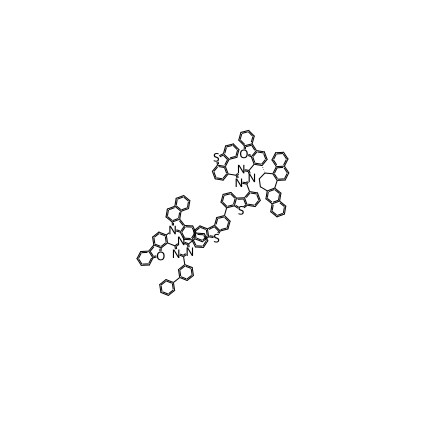 c1ccc(-c2cccc(-c3nc(-c4ccc5c(c4)sc4ccc(-c6cccc7c6sc6cccc(-c8nc(-c9c([C@H]%10CCc%11cc%12ccccc%12cc%11-c%11ccc%12ccccc%12c%11%10)ccc%10c9oc9ccccc9%10)nc(-c9cccc%10sc%11ccccc%11c9%10)n8)c67)cc45)nc(-c4c(-n5c6cc7ccccc7cc6c6c7ccccc7ccc65)ccc5c4oc4ccccc45)n3)c2)cc1